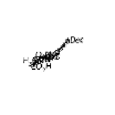 CCCCCCCCCCCCCCCCCOC(=O)c1ccc(N=Nc2ccc(N(C)CCC(=O)O)cc2)c([N+](=O)[O-])c1